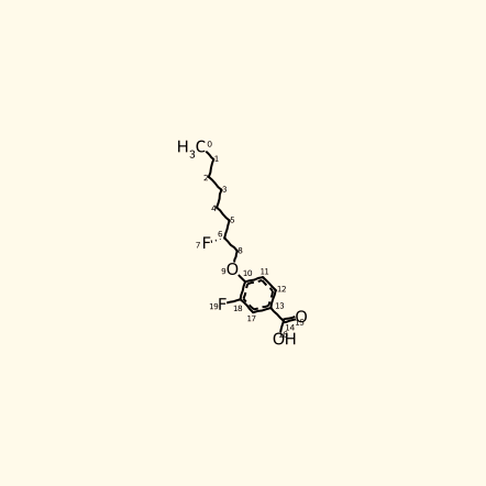 CCCCCC[C@@H](F)COc1ccc(C(=O)O)cc1F